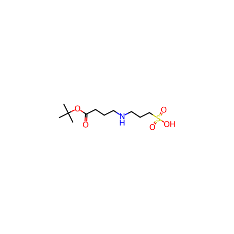 CC(C)(C)OC(=O)CCCNCCCS(=O)(=O)O